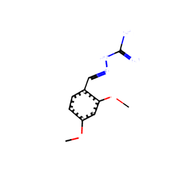 COc1ccc(/C=N/NC(=N)N)c(OC)c1